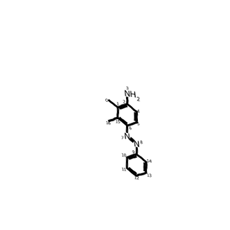 Cc1c(N)ccc(N=Nc2ccccc2)c1C